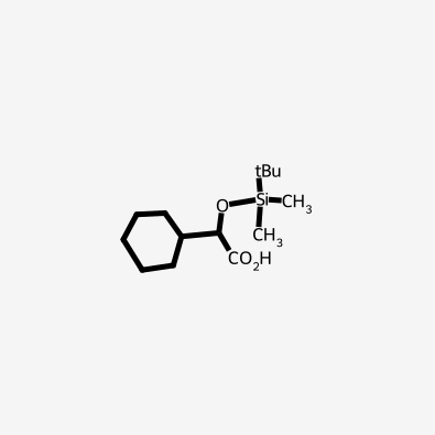 CC(C)(C)[Si](C)(C)OC(C(=O)O)C1CCCCC1